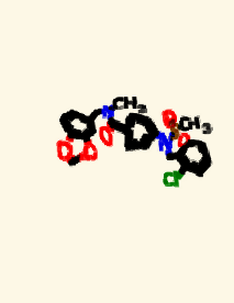 CN(Cc1ccc2c(c1)OCO2)C(=O)c1ccc(N(Cc2ccccc2Cl)S(C)(=O)=O)cc1